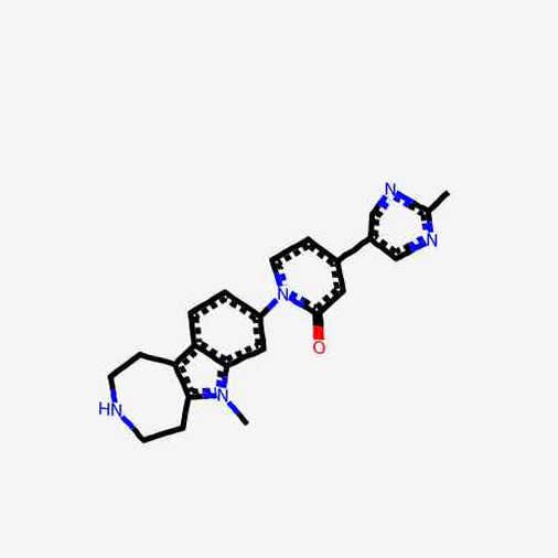 Cc1ncc(-c2ccn(-c3ccc4c5c(n(C)c4c3)CCNCC5)c(=O)c2)cn1